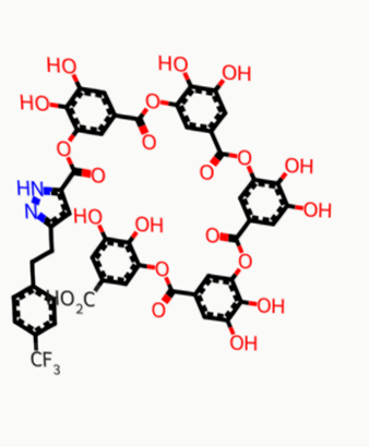 O=C(O)c1cc(O)c(O)c(OC(=O)c2cc(O)c(O)c(OC(=O)c3cc(O)c(O)c(OC(=O)c4cc(O)c(O)c(OC(=O)c5cc(O)c(O)c(OC(=O)c6cc(CCc7ccc(C(F)(F)F)cc7)n[nH]6)c5)c4)c3)c2)c1